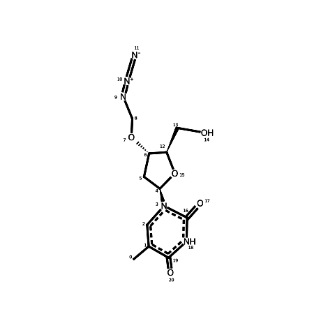 Cc1cn([C@H]2C[C@H](OCN=[N+]=[N-])[C@@H](CO)O2)c(=O)[nH]c1=O